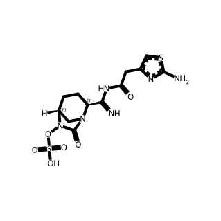 N=C(NC(=O)Cc1csc(N)n1)[C@@H]1CC[C@@H]2CN1C(=O)N2OS(=O)(=O)O